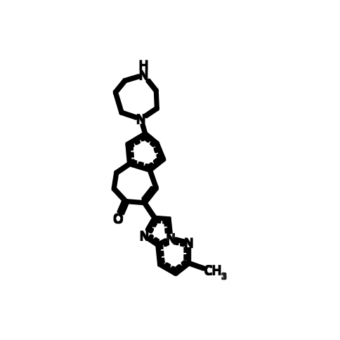 Cc1ccc2nc(C3=Cc4ccc(N5CCCNCC5)cc4CCC3=O)cn2n1